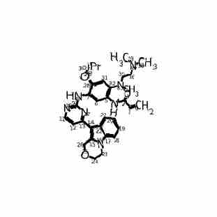 C=CC(=O)Nc1cc(Nc2nccc(-c3c4n(c5ccccc35)CCOC4)n2)c(OC(C)C)cc1N(C)CCN(C)C